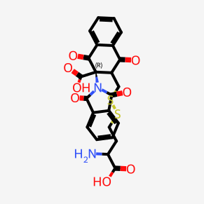 NC(CCSSCC1C(=O)c2ccccc2C(=O)[C@]1(C(=O)O)N1C(=O)c2ccccc2C1=O)C(=O)O